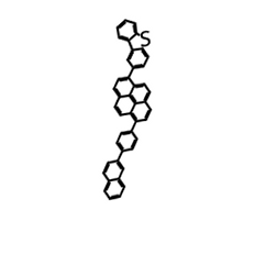 c1ccc2cc(-c3ccc(-c4ccc5ccc6c(-c7ccc8sc9ccccc9c8c7)ccc7ccc4c5c76)cc3)ccc2c1